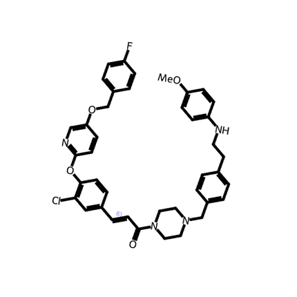 COc1ccc(NCCc2ccc(CN3CCN(C(=O)/C=C/c4ccc(Oc5ccc(OCc6ccc(F)cc6)cn5)c(Cl)c4)CC3)cc2)cc1